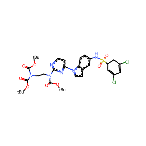 CC(C)(C)OC(=O)N(CCN(C(=O)OC(C)(C)C)c1nccc(-n2ccc3cc(NS(=O)(=O)C4C=C(Cl)C=C(Cl)C4)ccc32)n1)C(=O)OC(C)(C)C